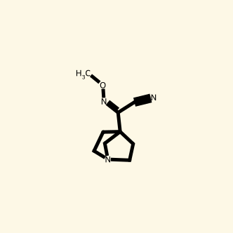 CON=C(C#N)C12CCN(CC1)C2